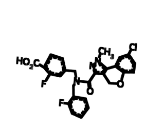 Cn1nc(C(=O)N(Cc2ccc(C(=O)O)c(F)c2)Cc2ccccc2F)c2c1-c1cc(Cl)ccc1OC2